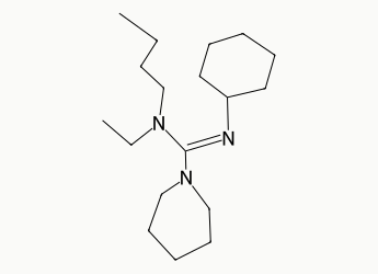 CCCCN(CC)/C(=N\C1CCCCC1)N1CCCCC1